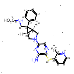 Nc1nc(N2C[C@@H]3[C@H](C2)C3(CNC(=O)O)c2ccccc2)cnc1Sc1cccnc1C(F)(F)F